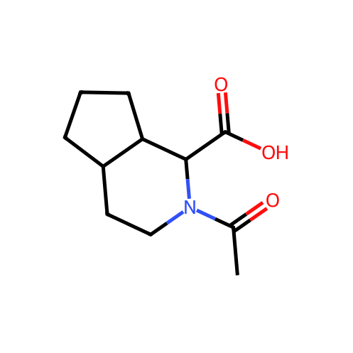 CC(=O)N1CCC2CCCC2C1C(=O)O